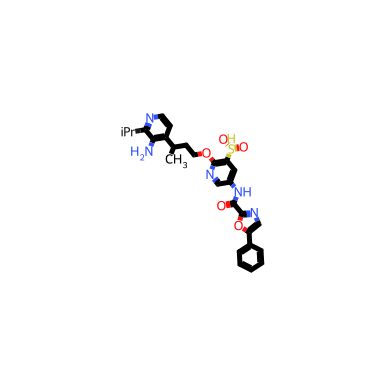 CC(C)c1nccc(C(C)CCOc2ncc(NC(=O)c3ncc(-c4ccccc4)o3)cc2[SH](=O)=O)c1N